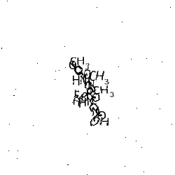 CCc1nc2c(cc1NC(=O)c1ccc(OC)cc1)c(OCC(F)(F)F)c(C(=O)NC1CCN(C(=O)CO)CC1)n2C